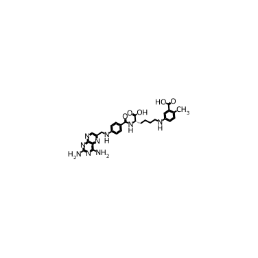 Cc1ccc(NCCCC[C@H](NC(=O)c2ccc(NCc3cnc4nc(N)nc(N)c4n3)cc2)C(=O)O)cc1C(=O)O